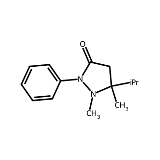 CC(C)C1(C)CC(=O)N(c2ccccc2)N1C